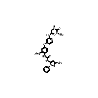 CSc1cc(Oc2ccnc(NC(=O)CN(C)C(=O)OC(C)(C)C)c2)ccc1NC(=O)Nc1cc(C(C)(C)C)nn1-c1ccccc1